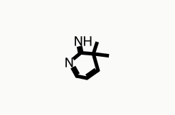 CC1(C)C=CC=NC1=N